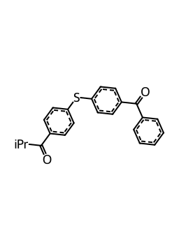 CC(C)C(=O)c1ccc(Sc2ccc(C(=O)c3ccccc3)cc2)cc1